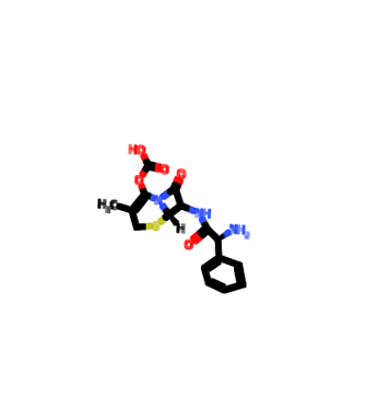 CC1=C(OC(=O)O)N2C(=O)C(NC(=O)[C@@H](N)c3ccccc3)[C@@H]2SC1